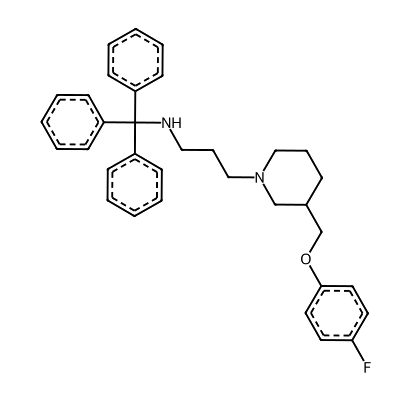 Fc1ccc(OCC2CCCN(CCCNC(c3ccccc3)(c3ccccc3)c3ccccc3)C2)cc1